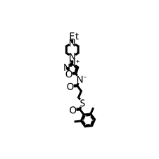 CCN1CCN([n+]2cc([N-]C(=O)CCSC(=O)c3c(C)cccc3C)on2)CC1